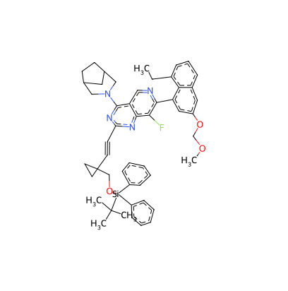 CCc1cccc2cc(OCOC)cc(-c3ncc4c(N5CC6CCC(C6)C5)nc(C#CC5(CO[Si](c6ccccc6)(c6ccccc6)C(C)(C)C)CC5)nc4c3F)c12